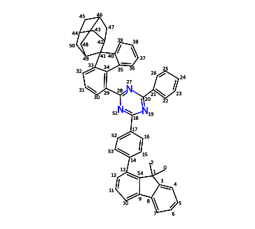 CC1(C)c2ccccc2-c2cccc(-c3ccc(-c4nc(-c5ccccc5)nc(-c5cccc6c5-c5ccccc5C65C6CC7CC(C6)CC5C7)n4)cc3)c21